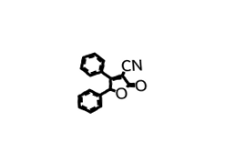 N#CC1=C(c2ccccc2)C(c2ccccc2)OC1=O